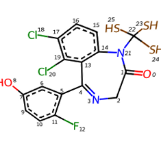 O=C1CN=C(c2cc(O)ccc2F)c2c(ccc(Cl)c2Cl)N1C(S)(S)S